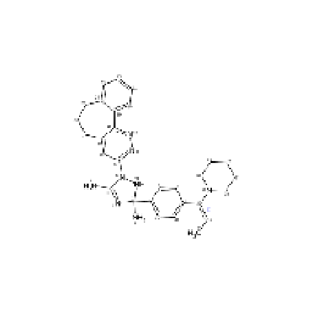 C/C=C(\c1ccc(C2(N)N=C(N)N(c3cc4c(nn3)-c3ccccc3CCC4)N2)cc1)N1CCCCC1